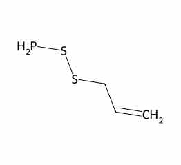 C=CCSSP